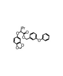 CC(C)C(Oc1ccc2c(c1)OCO2)C(=O)OCc1cccc(Oc2ccccc2)c1